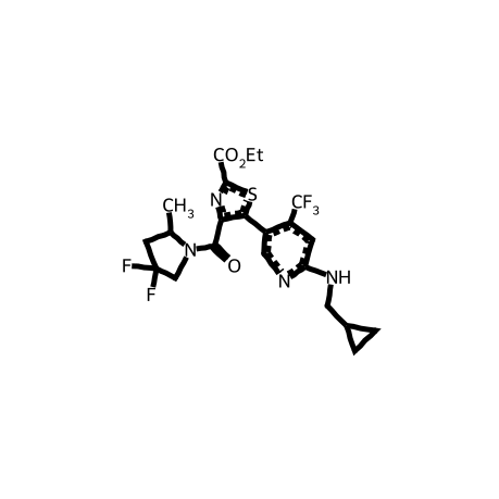 CCOC(=O)c1nc(C(=O)N2CC(F)(F)CC2C)c(-c2cnc(NCC3CC3)cc2C(F)(F)F)s1